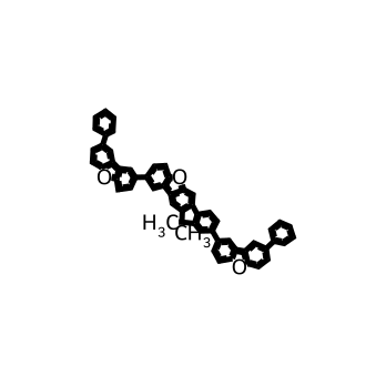 CC1(C)c2cc(-c3ccc4oc5ccc(-c6ccccc6)cc5c4c3)ccc2-c2cc3oc4ccc(-c5ccc6oc7ccc(-c8ccccc8)cc7c6c5)cc4c3cc21